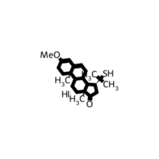 COC1=CC2=CCC3C(CC[C@]4(C)C(=O)C[C@@H](C(C)(C)S)C34)[C@@]2(C)CC1.I